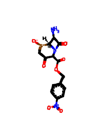 NC1C(=O)N2C(C(=O)OCc3ccc([N+](=O)[O-])cc3)C(=O)C[S+]([O-])[C@@H]12